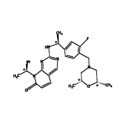 CC(C)[C@H](C)n1c(=O)ccc2cnc(N[C@@H](C)c3ccc(CN4C[C@@H](C)O[C@@H](C)C4)c(F)c3)nc21